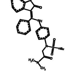 CCCCS(=O)(=O)N(CC(=O)N(C)C)c1ccc(N/C(=C2\C(=O)Nc3ccccc32)c2ccccc2)cc1